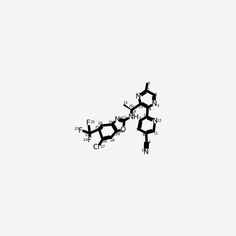 Cc1cnc(-c2ccc(C#N)cn2)c([C@H](C)Nc2nc3cc(C(F)(F)F)c(Cl)cc3o2)n1